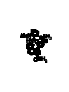 CNc1ncccc1C(=O)Nc1ccc2c(c1)-c1c(c(C(N)=O)nn1-c1ccc(S(N)(=O)=O)cc1)CC2